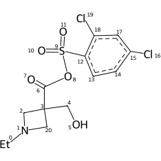 CCN1CC(CO)(C(=O)OS(=O)(=O)c2ccc(Cl)cc2Cl)C1